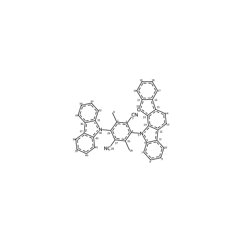 Cc1c(C#N)c(-n2c3ccccc3c3ccc4c5ccccc5oc4c32)c(C)c(C#N)c1-n1c2ccccc2c2ccccc21